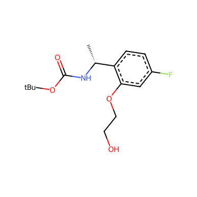 C[C@@H](NC(=O)OC(C)(C)C)c1ccc(F)cc1OCCO